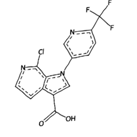 O=C(O)c1cn(-c2ccc(C(F)(F)F)nc2)c2c(Cl)nccc12